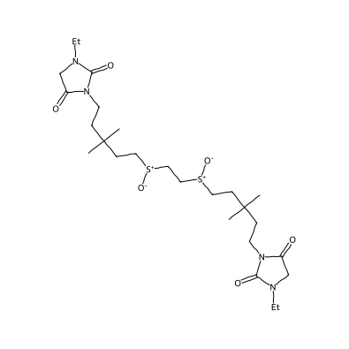 CCN1CC(=O)N(CCC(C)(C)CC[S+]([O-])CC[S+]([O-])CCC(C)(C)CCN2C(=O)CN(CC)C2=O)C1=O